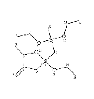 C=CC[Si](C[Si](C)(OCC)OCC)(OCC)OCC